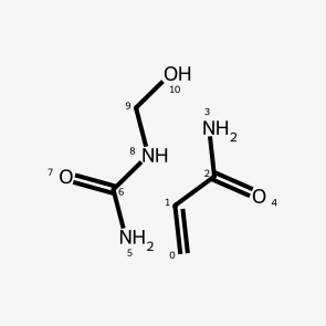 C=CC(N)=O.NC(=O)NCO